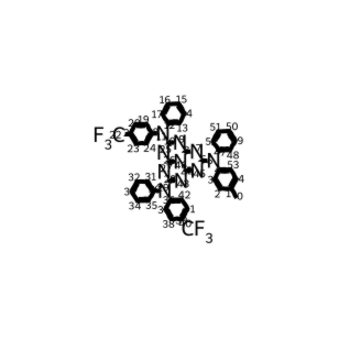 Cc1ccc(N(C2=NC3=NC(N(c4ccccc4)c4ccc(C(F)(F)F)cc4)=NC4=NC(N(c5ccccc5)c5ccc(C(F)(F)F)cc5)=NC(=N2)N34)c2ccccc2)cc1